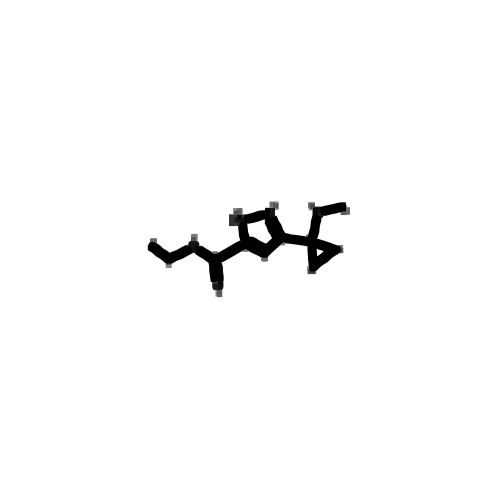 CCOC(=O)c1cc(C2(OC)CC2)n[nH]1